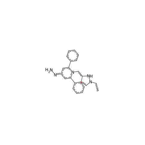 NN=c1cc(-c2ccccc2)n(C=C2C=CN(C=S)N2)c(-c2ccccc2)c1